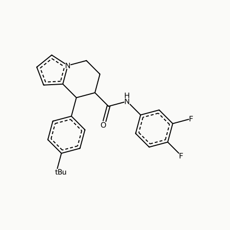 CC(C)(C)c1ccc(C2c3cccn3CCC2C(=O)Nc2ccc(F)c(F)c2)cc1